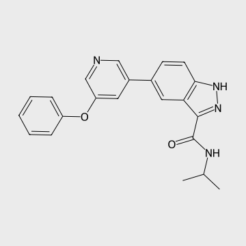 CC(C)NC(=O)c1n[nH]c2ccc(-c3cncc(Oc4ccccc4)c3)cc12